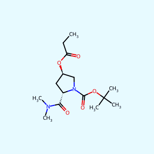 CCC(=O)O[C@@H]1C[C@@H](C(=O)N(C)C)N(C(=O)OC(C)(C)C)C1